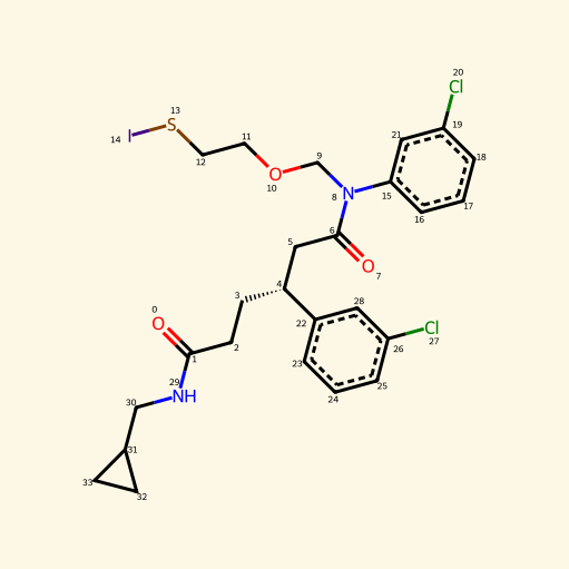 O=C(CC[C@H](CC(=O)N(COCCSI)c1cccc(Cl)c1)c1cccc(Cl)c1)NCC1CC1